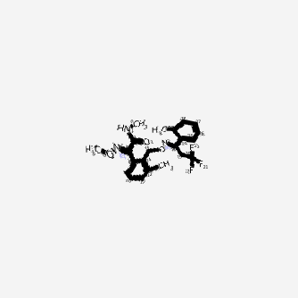 CNC(=O)/C(=N/OC)c1cccc(C)c1CO/N=C(\CC(F)(F)F)c1ccccc1C